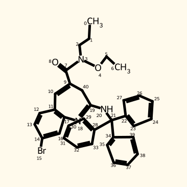 CCCN(OCC)C(=O)C1=Cc2ccc(Br)cc2N=C(NC(c2ccccc2)(c2ccccc2)c2ccccc2)C1